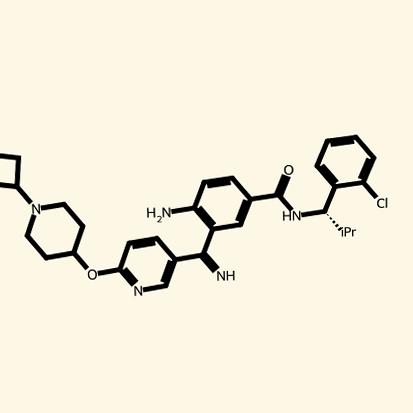 CC(C)[C@H](NC(=O)c1ccc(N)c(C(=N)c2ccc(OC3CCN(C4COC4)CC3)nc2)c1)c1ccccc1Cl